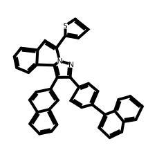 c1csc(-c2cc3ccccc3c3c(-c4ccc5ccccc5c4)c(-c4ccc(-c5cccc6ccccc56)cc4)nn23)c1